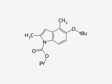 Cc1c(OC(C)(C)C)ccc2c1cc(C)n2C(=O)OC(C)C